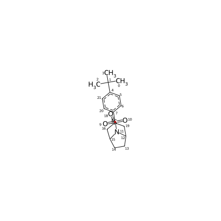 CC(C)(C)c1ccc(S(=O)(=O)N2C3CCC2CC(=O)C3)cc1